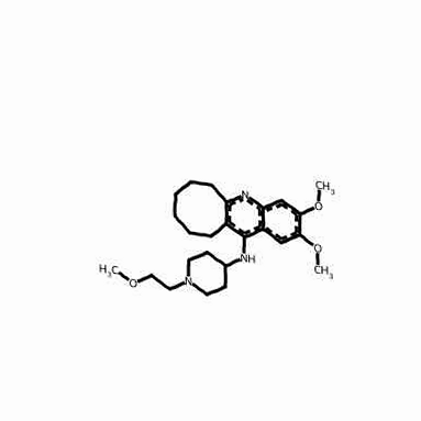 COCCN1CCC(Nc2c3c(nc4cc(OC)c(OC)cc24)CCCCCC3)CC1